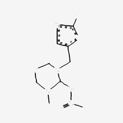 CN1COCN(Cc2cnc(Cl)s2)C1N[N+](=O)[O-]